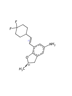 C[C@@H]1Cc2cc(N)cc(/C=C/C3CCC(F)(F)CC3)c2O1